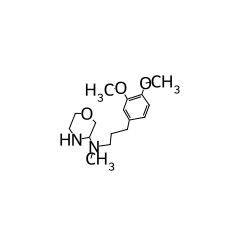 COc1ccc(CCCN(C)C2COCCN2)cc1OC